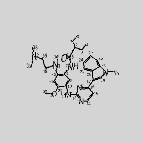 CCC(CC)C(=O)Nc1cc(Nc2nccc(-c3cn(C)c4ccccc34)n2)c(OC)cc1N(C)CCN(C)C